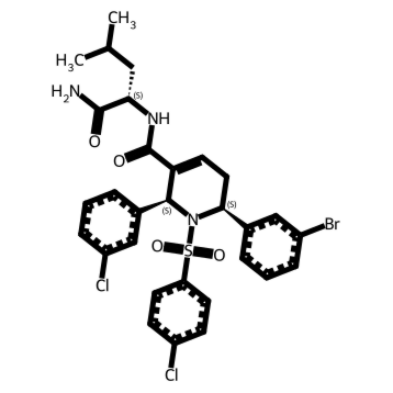 CC(C)C[C@H](NC(=O)C1=CC[C@@H](c2cccc(Br)c2)N(S(=O)(=O)c2ccc(Cl)cc2)[C@H]1c1cccc(Cl)c1)C(N)=O